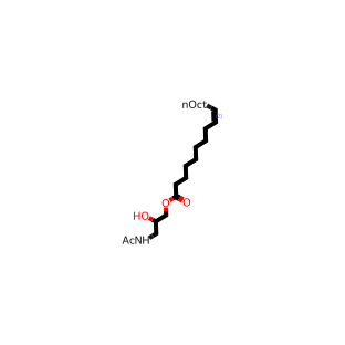 CCCCCCCC/C=C\CCCCCCCC(=O)OCC(O)CNC(C)=O